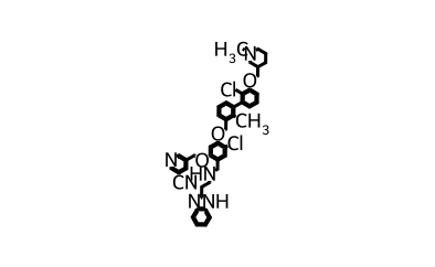 Cc1c(COc2cc(OCc3cncc(C#N)c3)c(CNCCc3nc4ccccc4[nH]3)cc2Cl)cccc1-c1cccc(OCC2CCCN(C)C2)c1Cl